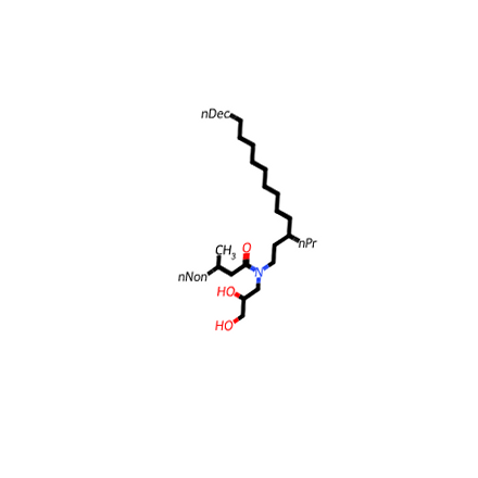 CCCCCCCCCCCCCCCCCCCC(CCC)CCN(CC(O)CO)C(=O)CC(C)CCCCCCCCC